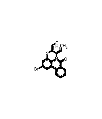 C/C=C1/Sc2cc(Br)cc3c4ccccc4c(=O)n(c23)/C1=C/C